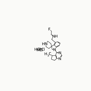 CC1CCc2ncnc(N3CC4(CCNCC4)c4c(CNCCF)cccc43)c21.Cl.Cl.Cl